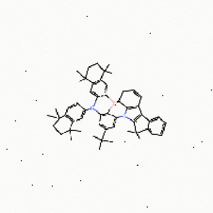 CC(C)(C)c1cc2c3c(c1)-n1c4c(c5c1C(C)(C)c1ccccc1-5)C=CCC4B3c1cc3c(cc1N2c1ccc2c(c1)C(C)(C)CCC2(C)C)C(C)(C)CCC3(C)C